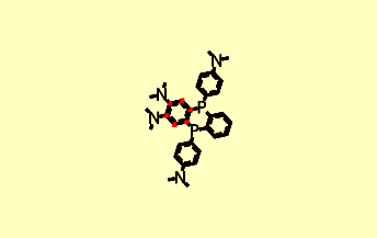 CN(C)c1ccc(P(c2ccc(N(C)C)cc2)c2ccccc2P(c2ccc(N(C)C)cc2)c2ccc(N(C)C)cc2)cc1